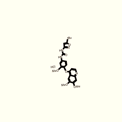 COc1cc2nccc(Oc3ccc(NC(=O)Nc4cc(C(C)(C)C)on4)cc3OC)c2cc1OC.Cl